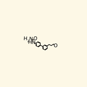 NC(=O)Nc1ccc(-c2cccc(CCC=O)c2)cc1